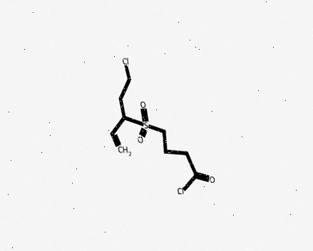 C=CC(CCCl)S(=O)(=O)CCCC(=O)Cl